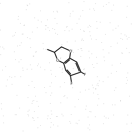 [CH2]C1COc2cc(F)c(F)cc2O1